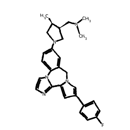 C[C@@H]1CN(c2ccc3c(c2)Cn2cc(-c4ccc(F)cc4)cc2-c2nccn2-3)C[C@@H]1CN(C)C